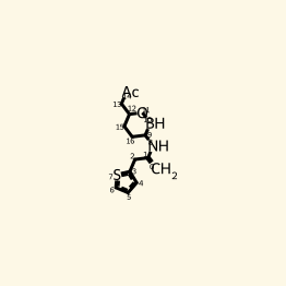 C=C(Cc1cccs1)NC1BOC(CC(C)=O)CC1